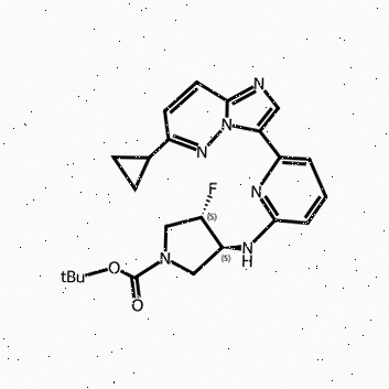 CC(C)(C)OC(=O)N1C[C@H](Nc2cccc(-c3cnc4ccc(C5CC5)nn34)n2)[C@@H](F)C1